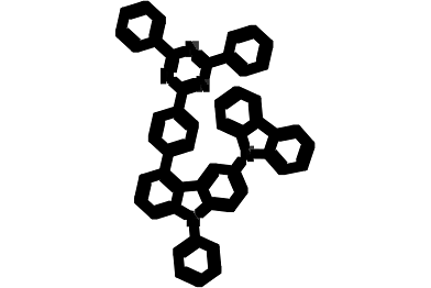 c1ccc(-c2nc(-c3ccccc3)nc(-c3ccc(-c4cccc5c4c4cc(-n6c7ccccc7c7ccccc76)ccc4n5-c4ccccc4)cc3)n2)cc1